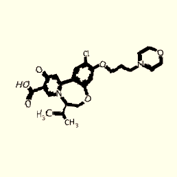 CC(C)[C@@H]1COc2cc(OCCCN3CCOCC3)c(Cl)cc2-c2cc(=O)c(C(=O)O)cn21